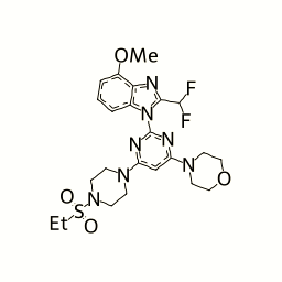 CCS(=O)(=O)N1CCN(c2cc(N3CCOCC3)nc(-n3c(C(F)F)nc4c(OC)cccc43)n2)CC1